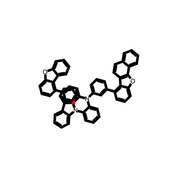 c1cc(-c2cccc3oc4c5ccccc5ccc4c23)cc(N(c2ccc(-c3cccc4oc5ccccc5c34)cc2)c2ccccc2-n2c3ccccc3c3ccccc32)c1